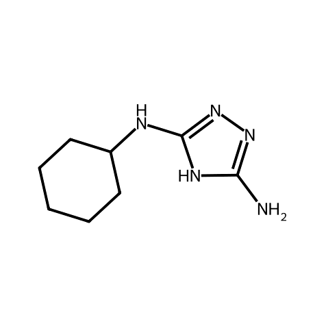 Nc1nnc(NC2CCCCC2)[nH]1